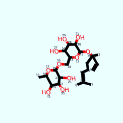 C=CC(C)(CCC=C(C)C)OC1OC(COC2OC(C)C(O)C(O)C2O)C(O)C(O)C1O